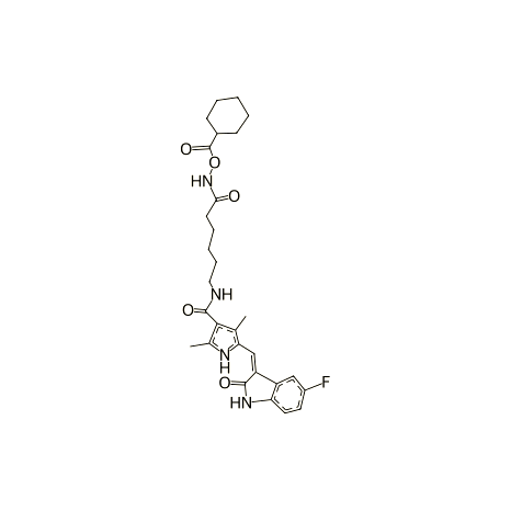 Cc1[nH]c(/C=C2\C(=O)Nc3ccc(F)cc32)c(C)c1C(=O)NCCCCCC(=O)NOC(=O)C1CCCCC1